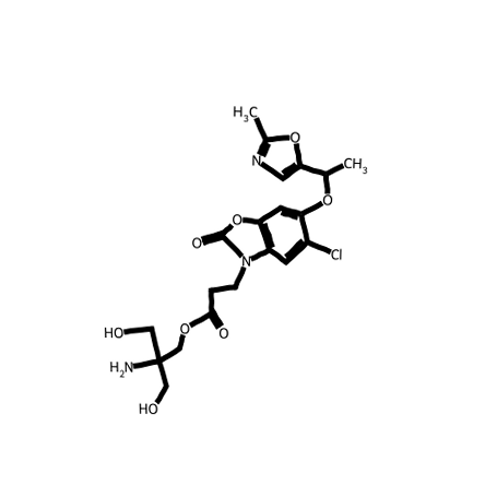 Cc1ncc(C(C)Oc2cc3oc(=O)n(CCC(=O)OCC(N)(CO)CO)c3cc2Cl)o1